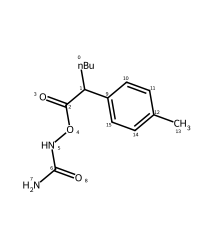 CCCCC(C(=O)ONC(N)=O)c1ccc(C)cc1